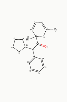 CC(C)C1=CC=CC(C(=O)C(c2ccccc2)C2CCCC2)(C(C)C)[CH]1